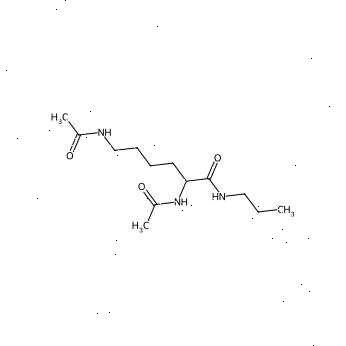 CCCNC(=O)C(CCCCNC(C)=O)NC(C)=O